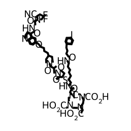 CC(CN1C(=O)CC(SC(CCCCCNC(=O)CCCc2ccc(I)cc2)CNC(=O)CN2CCN(CC(=O)O)CCN(CC(=O)O)CCN(CC(=O)O)CC2)C1=O)C(=O)N1CCC(CCCCOc2ccc3nccc(C(=O)NCC(=O)N4CC(F)(F)C[C@@H]4C#N)c3c2)CC1